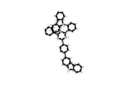 c1ccc(-c2nc(-c3ccc(-c4ccc5oc6ccccc6c5c4)cc3)nc(-c3ccccc3-n3c4ccccc4c4ccccc43)n2)cc1